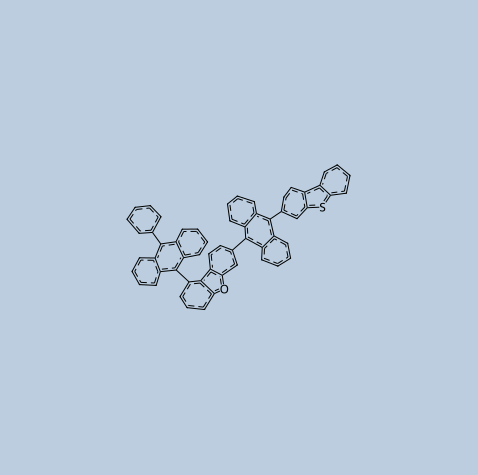 c1ccc(-c2c3ccccc3c(-c3cccc4oc5cc(-c6c7ccccc7c(-c7ccc8c(c7)sc7ccccc78)c7ccccc67)ccc5c34)c3ccccc23)cc1